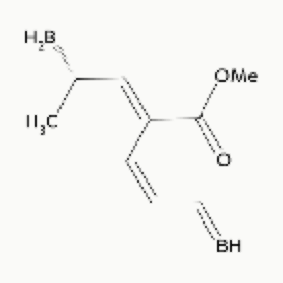 B=C/C=C\C(=C/[C@@H](B)C)C(=O)OC